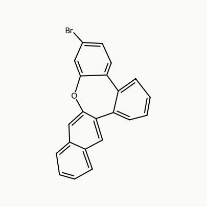 Brc1ccc2c(c1)Oc1cc3ccccc3cc1-c1ccccc1-2